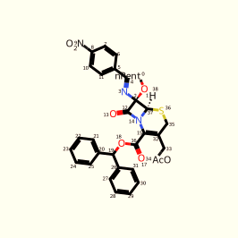 CCCCCO[C@]1(N=Cc2ccc([N+](=O)[O-])cc2)C(=O)N2C(C(=O)OC(c3ccccc3)c3ccccc3)=C(COC(C)=O)CS[C@@H]21